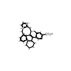 Cc1cc(C(=O)O)ccc1/C(=C1\CCc2nccn2Cc2ccccc21)C1CCCCC1